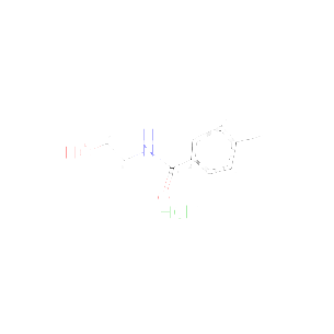 Cc1ccc(C(=O)NCCO)cc1.Cl